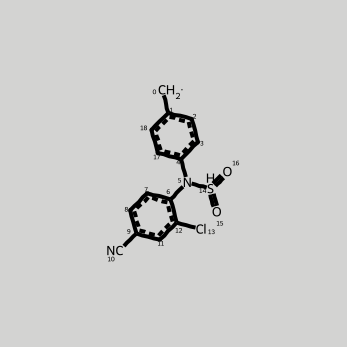 [CH2]c1ccc(N(c2ccc(C#N)cc2Cl)[SH](=O)=O)cc1